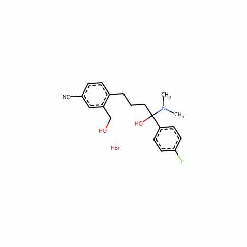 Br.CN(C)C(O)(CCCc1ccc(C#N)cc1CO)c1ccc(F)cc1